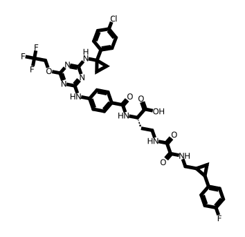 O=C(NCC[C@H](NC(=O)c1ccc(Nc2nc(NC3(c4ccc(Cl)cc4)CC3)nc(OCC(F)(F)F)n2)cc1)C(=O)O)C(=O)NCC1CC1c1ccc(F)cc1